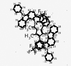 CC1=C(c2cccc(C(F)(F)F)c2)C(n2c3ccccc3c3ccc4c(c5ccccc5n4-c4ccccc4)c32)=C(c2cccc(C(F)(F)F)c2)[C@H]1[C@@H](C)n1c2ccccc2c2ccc3c(c4ccccc4n3-c3ccccc3)c21